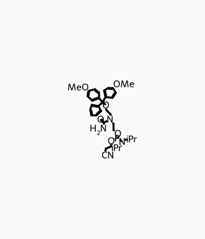 COc1ccc(C(OCCN(CCOP(OCCC#N)N(C(C)C)C(C)C)C(N)=O)(c2ccccc2)c2ccc(OC)cc2)cc1